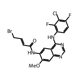 COc1cc2ncnc(Nc3ccc(F)c(Cl)c3F)c2cc1NC(=O)/C=C/CBr